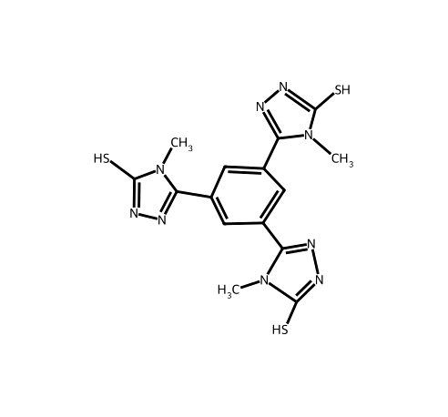 Cn1c(S)nnc1-c1cc(-c2nnc(S)n2C)cc(-c2nnc(S)n2C)c1